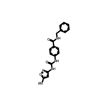 CC(C)(C)c1cc(NC(=O)Nc2ccc(C(=O)NCc3ccccc3)cc2)no1